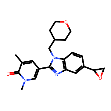 Cc1cc(-c2nc3cc(C4CO4)ccc3n2CC2CCOCC2)cn(C)c1=O